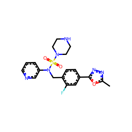 Cc1nnc(-c2ccc(CN(c3cccnc3)S(=O)(=O)N3CCNCC3)c(F)c2)o1